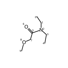 CCN(CC)C(=O)COC